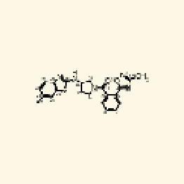 Cc1noc(-c2ccccc2C(=O)N2CC[C@@H](Nc3nc4ccc(F)cc4s3)C2)n1